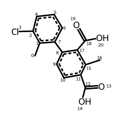 Cc1c(Cl)cccc1-c1ccc(C(=O)O)c(C)c1C(=O)O